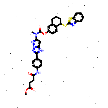 COC(=O)CCC(=O)Nc1ccc(-c2nn3nc(N(C)C(=O)Oc4ccc5c(c4)CCCC5Sc4nc5ccccc5s4)cc3[nH]2)cc1